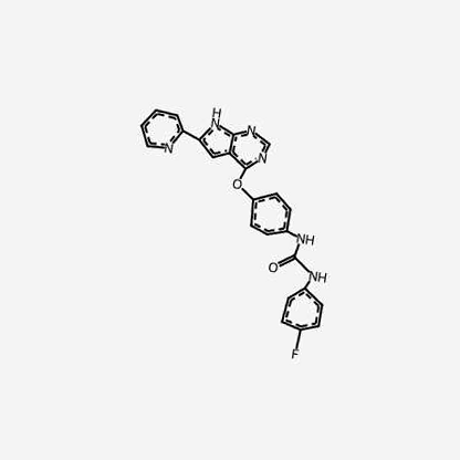 O=C(Nc1ccc(F)cc1)Nc1ccc(Oc2ncnc3[nH]c(-c4ccccn4)cc23)cc1